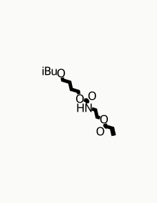 C=CC(=O)OCCNC(=O)OCCCCOC(C)CC